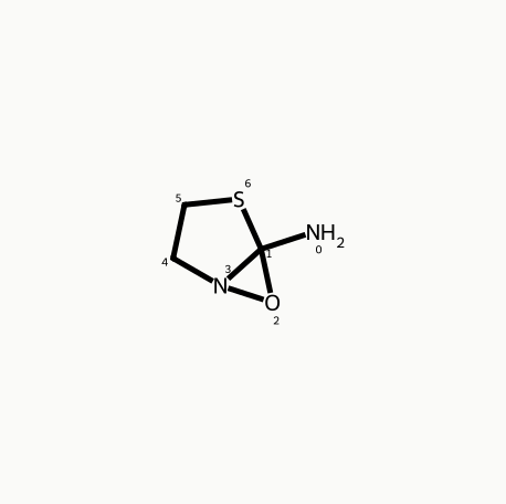 NC12ON1CCS2